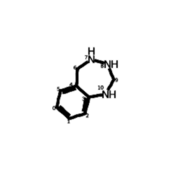 c1ccc2c(c1)CNNCN2